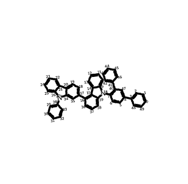 c1ccc(-c2ccc(-n3c4ccccc4c4c(-c5ccc6c7ccccc7n(-c7ccccc7)c6c5)cccc43)c(-c3ccccc3)c2)cc1